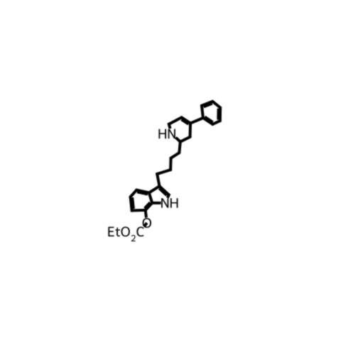 CCOC(=O)Oc1cccc2c(CCCCC3CC(c4ccccc4)=CCN3)c[nH]c12